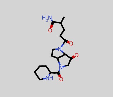 CC(C[CH]C(=O)N1CCC2C1C(=O)CN2C(=O)C1CCCCN1)C(N)=O